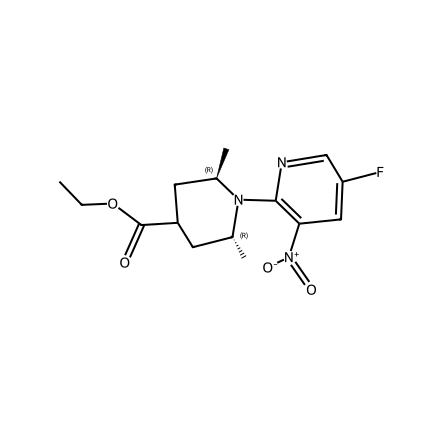 CCOC(=O)C1C[C@@H](C)N(c2ncc(F)cc2[N+](=O)[O-])[C@H](C)C1